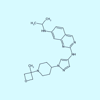 CC(C)Nc1ccc2cnc(Nc3cnn(C4CCN(C5(C)COC5)CC4)c3)nc2c1